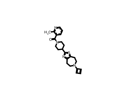 Cc1ncccc1C(=O)N1CCC(c2nc3c(s2)CCN(C2=CC=C2)CC3)CC1